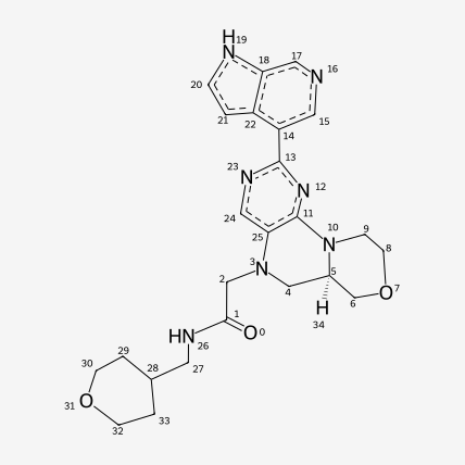 O=C(CN1C[C@@H]2COCCN2c2nc(-c3cncc4[nH]ccc34)ncc21)NCC1CCOCC1